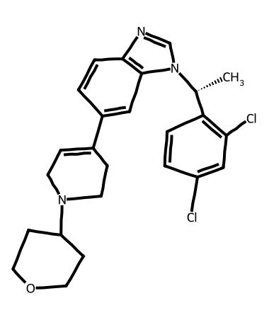 C[C@H](c1ccc(Cl)cc1Cl)n1cnc2ccc(C3=CCN(C4CCOCC4)CC3)cc21